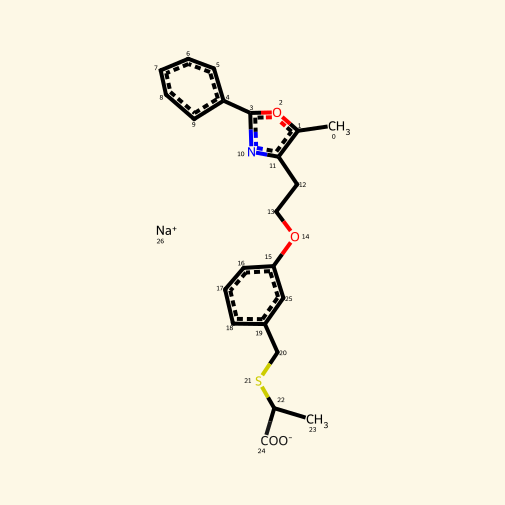 Cc1oc(-c2ccccc2)nc1CCOc1cccc(CSC(C)C(=O)[O-])c1.[Na+]